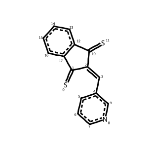 S=C1C(=Cc2cccnc2)C(=S)c2ccccc21